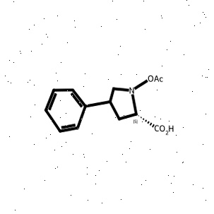 CC(=O)ON1CC(c2ccccc2)C[C@H]1C(=O)O